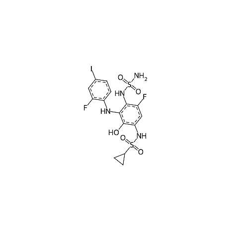 NS(=O)(=O)Nc1c(F)cc(NS(=O)(=O)C2CC2)c(O)c1Nc1ccc(I)cc1F